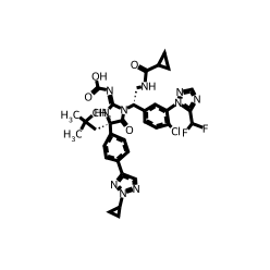 CC(C)(C)C[C@]1(c2ccc(-c3cnn(C4CC4)n3)cc2)NC(=NC(=O)O)N([C@H](CNC(=O)C2CC2)c2ccc(Cl)c(-n3ncnc3C(F)F)c2)C1=O